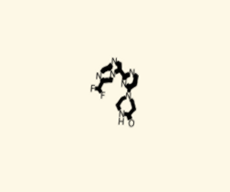 O=C1CCN(c2ccnc(-c3cnc4cnc(C(F)F)cn34)n2)CCN1